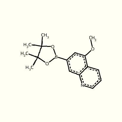 COc1cc(B2OC(C)(C)C(C)(C)O2)cc2ncccc12